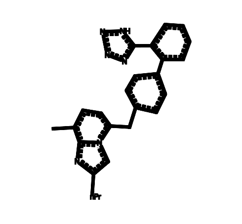 CCCc1cn2c(Cc3ccc(-c4ccccc4-c4nnn[nH]4)cc3)ccc(C)c2n1